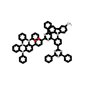 Cc1ccc2c(c1)c1ccccc1n2-c1ccc(-c2nc(-c3ccccc3)nc(-c3ccccc3)n2)cc1-c1cc(-c2ccccc2)nc(-c2ccc(-c3ccc4c5c3N(c3ccccc3)c3ccccc3B5c3ccccc3N4c3ccccc3)cc2)n1